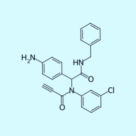 C#CC(=O)N(c1cccc(Cl)c1)C(C(=O)NCc1ccccc1)c1ccc(N)cc1